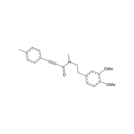 COc1ccc(CCN(C)C(=O)C#Cc2ccc(C)cc2)cc1OC